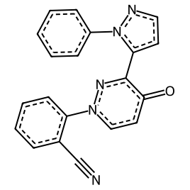 N#Cc1ccccc1-n1ccc(=O)c(-c2ccnn2-c2ccccc2)n1